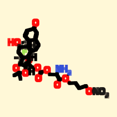 CC1(C)O[C@@H]2C[C@H]3[C@@H]4CCC5=CC(=O)C=C[C@]5(C)[C@@]4(F)[C@@H](O)C[C@]3(C)[C@]2(C(=O)COC(=O)OCC(N)C(=O)OCCCCO[N+](=O)[O-])O1